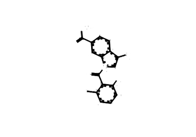 COC(=O)c1ccc2c(Br)cn(C(=O)c3c(C)cccc3Cl)c2c1